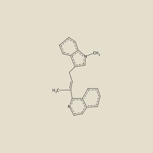 CC(=CCc1cn(C)c2ccccc12)c1nccc2ccccc12